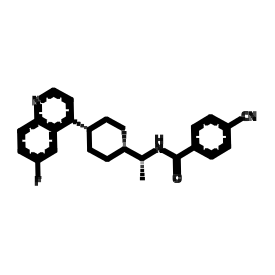 C[C@@H](NC(=O)c1ccc(C#N)cc1)[C@H]1CC[C@@H](c2ccnc3ccc(F)cc32)CC1